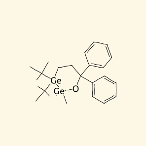 C[C](C)(C)[Ge]1([C](C)(C)C)[CH2]CC(c2ccccc2)(c2ccccc2)[O][Ge]1([CH3])[CH3]